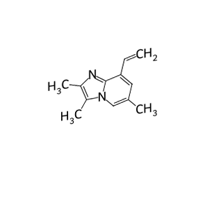 C=Cc1cc(C)cn2c(C)c(C)nc12